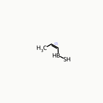 C/C=C\BS